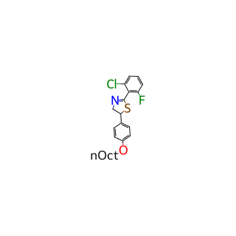 CCCCCCCCOc1ccc(C2CN=C(c3c(F)cccc3Cl)S2)cc1